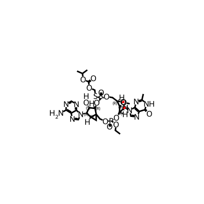 CCOP1(=O)OCC23C[C@@H]2[C@@H](n2cnc4c(N)ncnc42)[C@H](O)[C@@H]3OP(=O)(SCOC(=O)OC(C)C)OC[C@H]2O[C@@H](n3cnc4c(=O)[nH]c(C)nc43)[C@H](O1)[C@@H]2OC